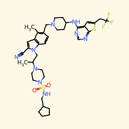 Cc1c(CN2CCC(Nc3ncnc4sc(CC(F)(F)F)cc34)CC2)ccc2c1cc(C#N)n2CC(C)N1CCN(S(=O)(=O)NCC2CCCC2)CC1